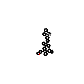 C1=CN=C(C2C=c3ccc(-c4c5ccccc5c(-c5ccc6c(-c7ccc8ccccc8c7)c7ccccc7c(-c7ccc8ccccc8c7)c6c5)c5ccccc45)cc3=CC2)N(C2=CCCC=C2)C=1C1=CC=CCC1